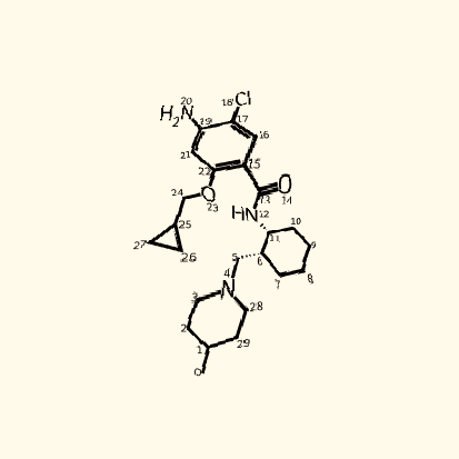 CC1CCN(C[C@H]2CCCC[C@H]2NC(=O)c2cc(Cl)c(N)cc2OCC2CC2)CC1